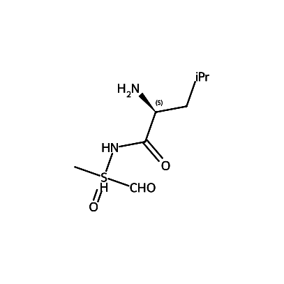 CC(C)C[C@H](N)C(=O)N[SH](C)(=O)C=O